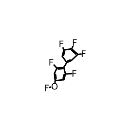 FOc1cc(F)c(-c2cc(F)c(F)c(F)c2)c(F)c1